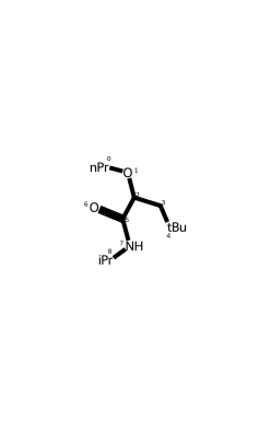 CCCOC(CC(C)(C)C)C(=O)NC(C)C